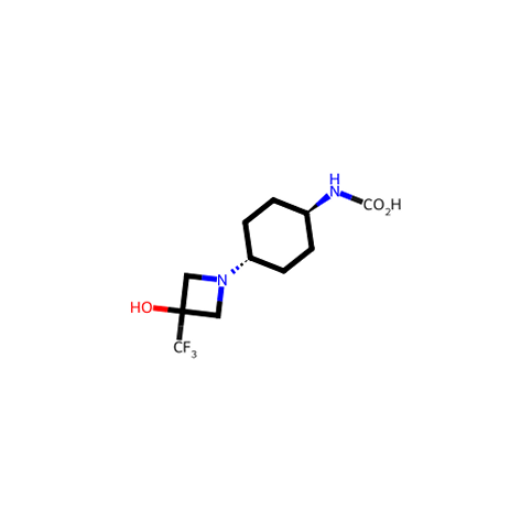 O=C(O)N[C@H]1CC[C@H](N2CC(O)(C(F)(F)F)C2)CC1